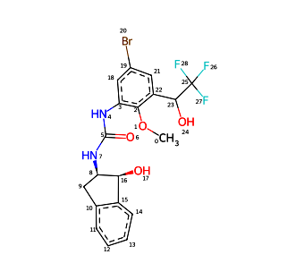 COc1c(NC(=O)N[C@@H]2Cc3ccccc3[C@@H]2O)cc(Br)cc1C(O)C(F)(F)F